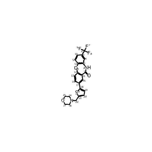 O=C1Nc2cc(C(F)(F)F)ccc2Oc2ccc(-c3ccc(CN4CCOCC4)s3)cc21